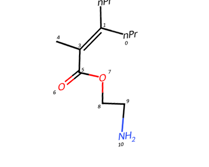 CCCC(CCC)=C(C)C(=O)OCCN